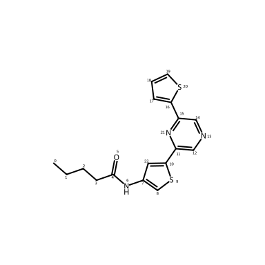 CCCCC(=O)Nc1csc(-c2cncc(-c3cccs3)n2)c1